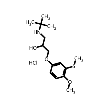 COc1ccc(OCC(O)CNC(C)(C)C)cc1SC.Cl